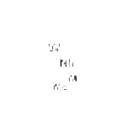 [Mo].[Nb].[Ni].[W]